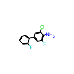 Nc1c(F)cc(-c2ccccc2F)cc1Cl